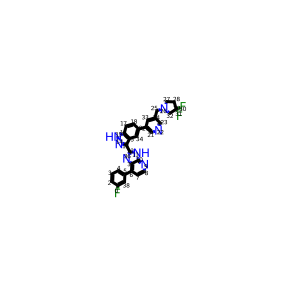 Fc1cccc(-c2ccnc3[nH]c(-c4n[nH]c5ccc(-c6cncc(CN7CCC(F)(F)C7)c6)cc45)nc23)c1